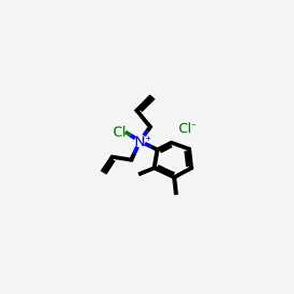 C=CC[N+](Cl)(CC=C)c1cccc(C)c1C.[Cl-]